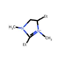 CCC1=[N+](C)C(CC)CN1C